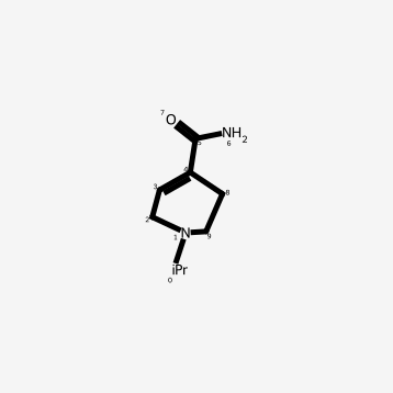 CC(C)N1CC=C(C(N)=O)CC1